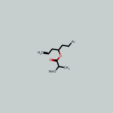 C=CCC(CCC(C)=O)OC(=O)C(C)OC